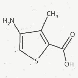 Cc1c(N)[c]sc1C(=O)O